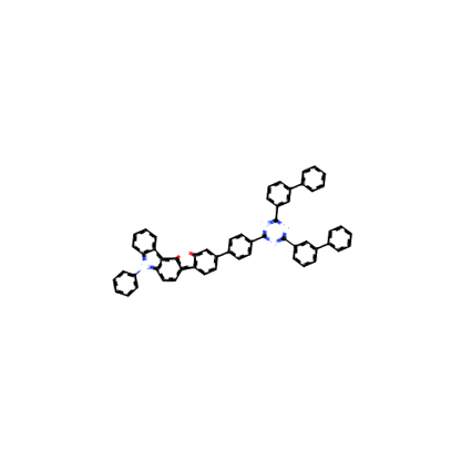 c1ccc(-c2cccc(-c3nc(-c4ccc(-c5ccc6c(c5)oc5c6ccc6c5c5ccccc5n6-c5ccccc5)cc4)nc(-c4cccc(-c5ccccc5)c4)n3)c2)cc1